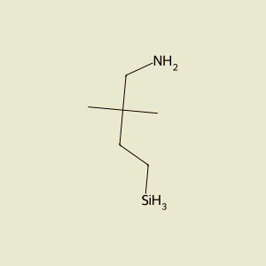 CC(C)(CN)CC[SiH3]